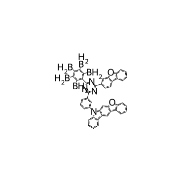 Bc1c(B)c(B)c(-c2nc(-c3cccc(-n4c5ccccc5c5cc6c(cc54)oc4ccccc46)c3)nc(-c3ccc4c(c3)oc3ccccc34)n2)c(B)c1B